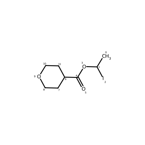 CC(I)OC(=O)C1CCOCC1